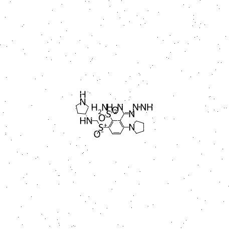 N=N/N=C(\N)c1c(N2CCCC2)ccc([S+]([O-])CN[C@@H]2CCNC2)c1S(N)(=O)=O